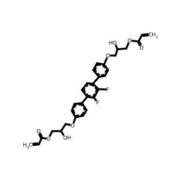 C=CC(=O)OCC(O)COc1ccc(-c2ccc(-c3ccc(OCC(O)COC(=O)C=C)cc3)c(F)c2F)cc1